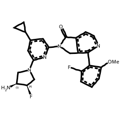 COc1cccc(F)c1-c1nccc2c1CN(c1cc(C3CC3)cc(N3C[C@@H](F)[C@@H](N)C3)n1)C2=O